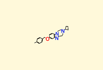 Cc1ccc(COc2ccc3c(c2)nc2n3CCN(C3CCC3)CC2)cc1